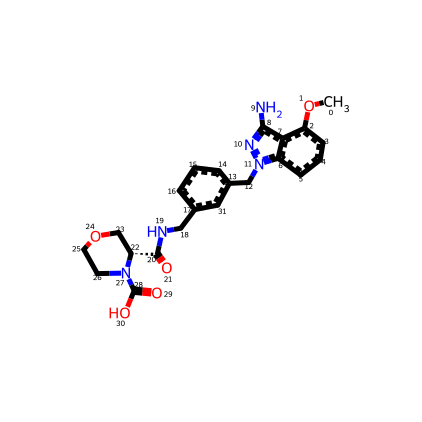 COc1cccc2c1c(N)nn2Cc1cccc(CNC(=O)[C@H]2COCCN2C(=O)O)c1